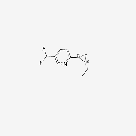 CC[C@H]1C[C@@H]1c1ccc(C(F)F)cn1